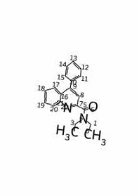 CCN(CC)C(=O)c1cc(-c2ccccc2)c2ccccc2n1